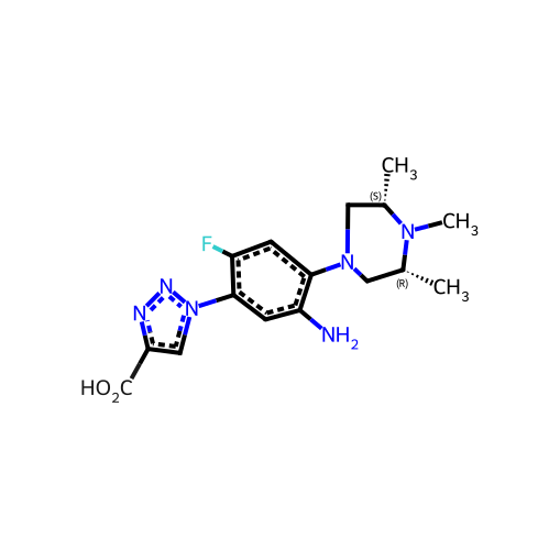 C[C@@H]1CN(c2cc(F)c(-n3cc(C(=O)O)nn3)cc2N)C[C@H](C)N1C